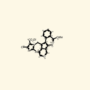 CCCCc1nc(Cl)c(C(=O)OCC)n1Cc1c2ccocc-2c(Br)c1-c1ccccc1C(=O)OC